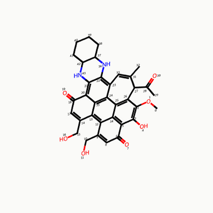 COc1c(O)c2c(=O)cc(CO)c3c4c(CO)cc(=O)c5c6c(c7c(c(c1C(C(C)=O)C(C)=C7)c23)c54)NC1CCCCC1N6